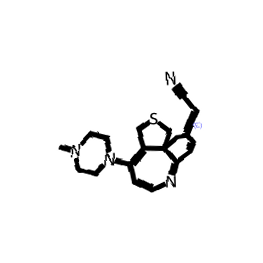 CN1CCN(C2=C3CSCC34C/C(=C\C#N)C=CC4=NC=C2)CC1